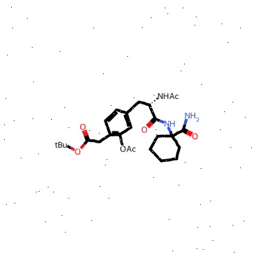 CC(=O)N[C@@H](Cc1ccc(CC(=O)OC(C)(C)C)c(OC(C)=O)c1)C(=O)NC1(C(N)=O)CCCCC1